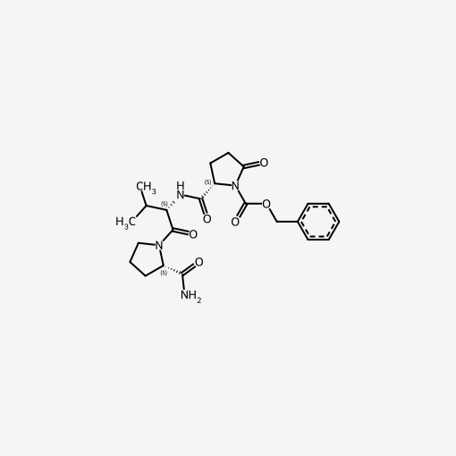 CC(C)[C@H](NC(=O)[C@@H]1CCC(=O)N1C(=O)OCc1ccccc1)C(=O)N1CCC[C@H]1C(N)=O